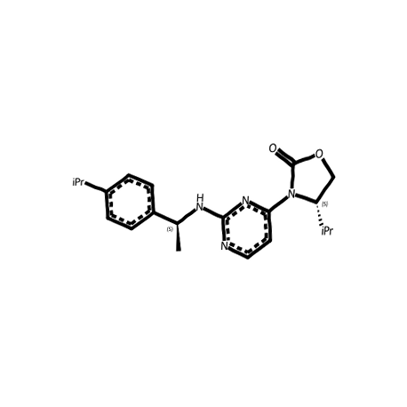 CC(C)c1ccc([C@H](C)Nc2nccc(N3C(=O)OC[C@@H]3C(C)C)n2)cc1